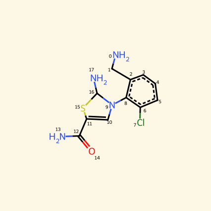 NCc1cccc(Cl)c1N1C=C(C(N)=O)SC1N